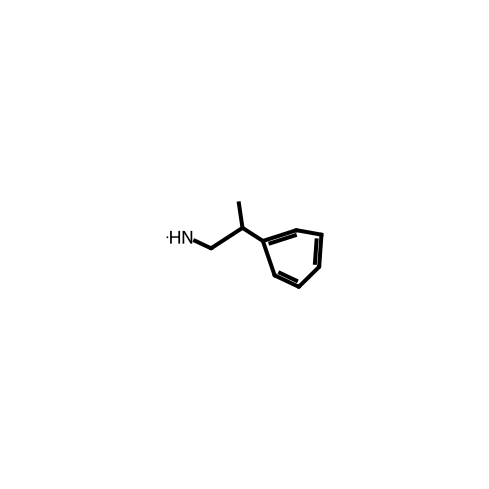 CC(C[NH])c1ccccc1